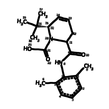 Cc1cccc(C)c1NC(=O)C1CC=C[C@@H](C(C)(C)C)N1C(=O)O